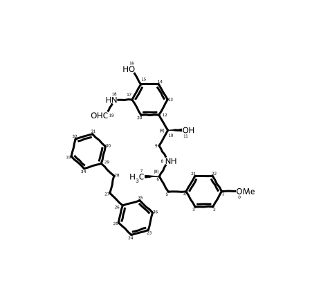 COc1ccc(C[C@@H](C)NC[C@H](O)c2ccc(O)c(NC=O)c2)cc1.c1ccc(CCc2ccccc2)cc1